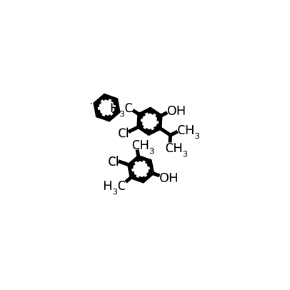 Cc1cc(O)c(C(C)C)cc1Cl.Cc1cc(O)cc(C)c1Cl.[c]1ccccc1